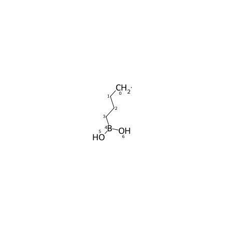 [CH2]CCCB(O)O